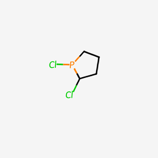 ClC1CCCP1Cl